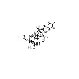 CNc1nc(SC)nc(NNC(=O)[C@@H](CC2CCCC2)CN(O)C=O)c1F